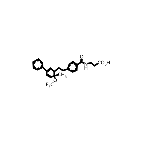 CC1(OC(F)(F)F)C=CC(c2ccccc2)=CC1CCc1ccc(C(=O)NCCC(=O)O)cc1